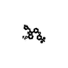 CS(=O)(=O)c1cccc(Oc2cccc(-c3c(Cn4ccnc4)nc4c(C(F)(F)F)cccn34)c2)c1